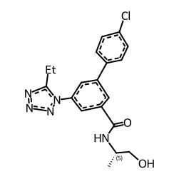 CCc1nnnn1-c1cc(C(=O)N[C@@H](C)CO)cc(-c2ccc(Cl)cc2)c1